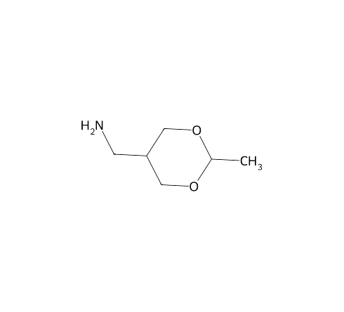 CC1OCC(CN)CO1